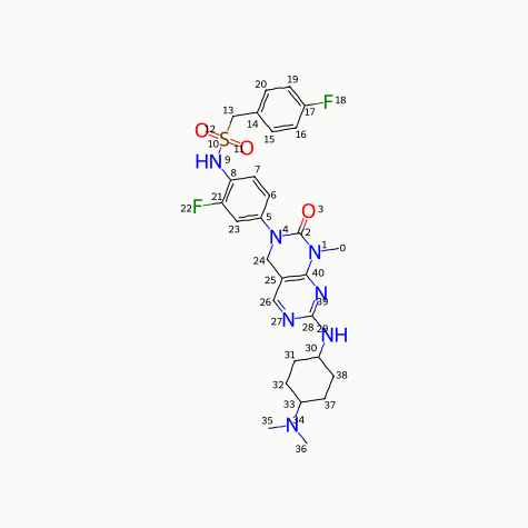 CN1C(=O)N(c2ccc(NS(=O)(=O)Cc3ccc(F)cc3)c(F)c2)Cc2cnc(NC3CCC(N(C)C)CC3)nc21